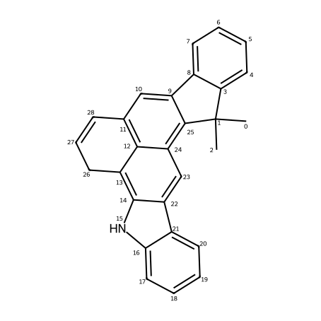 CC1(C)c2ccccc2-c2cc3c4c(c5[nH]c6ccccc6c5cc4c21)CC=C3